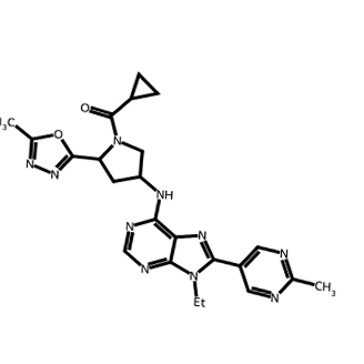 CCn1c(-c2cnc(C)nc2)nc2c(NC3CC(c4nnc(C)o4)N(C(=O)C4CC4)C3)ncnc21